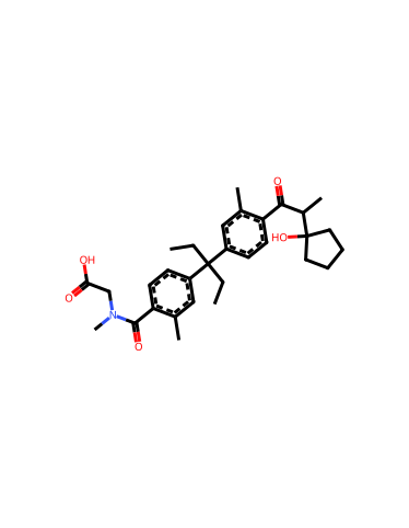 CCC(CC)(c1ccc(C(=O)C(C)C2(O)CCCC2)c(C)c1)c1ccc(C(=O)N(C)CC(=O)O)c(C)c1